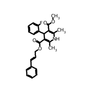 COC(=O)C1=C(C)NC(C)=C(C(=O)OC/C=C/c2ccccc2)C1c1ccccc1F